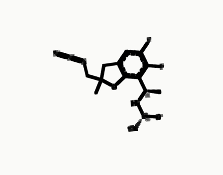 C[C@@H](N[S@+]([O-])C(C)(C)C)c1c(F)c(F)cc2c1OC(C)(CN=[N+]=[N-])C2